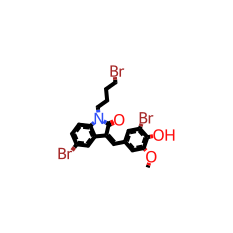 COc1cc(C=C2C(=O)N(CCCCBr)c3ccc(Br)cc32)cc(Br)c1O